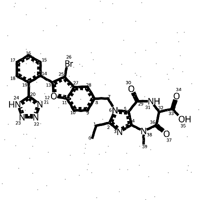 CCc1nc2c(n1Cc1ccc3oc(-c4ccccc4-c4nnn[nH]4)c(Br)c3c1)C(=O)NC(C(=O)O)C(=O)N2C